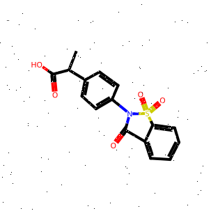 CC(C(=O)O)c1ccc(N2C(=O)c3ccccc3S2(=O)=O)cc1